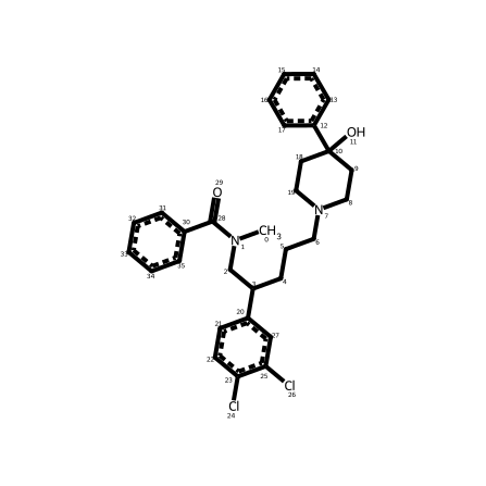 CN(CC(CCCN1CCC(O)(c2ccccc2)CC1)c1ccc(Cl)c(Cl)c1)C(=O)c1ccccc1